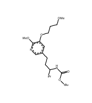 COCCCOc1cc(CCC(NC(=O)OC(C)(C)C)C(C)C)cnc1OC